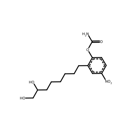 NC(=O)Oc1ccc([N+](=O)[O-])cc1CCCCCCC(O)CO